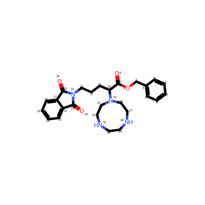 O=C(OCc1ccccc1)C(CCCN1C(=O)c2ccccc2C1=O)N1CCNCCNCC1